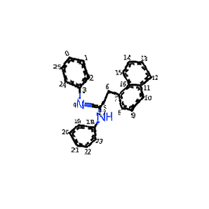 c1ccc(/N=C(\Cc2cccc3ccccc23)Nc2ccccc2)cc1